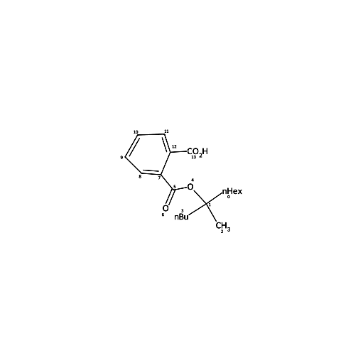 CCCCCCC(C)(CCCC)OC(=O)c1ccccc1C(=O)O